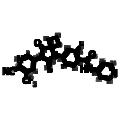 N#Cc1ncc(N2C(=O)C3(CCC3)N(c3ccc(C(=O)Nc4ccncc4)c(F)c3)C2=S)cc1C(F)(F)F